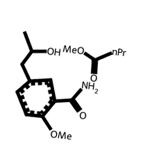 CCCC(=O)OC.COc1ccc(CC(C)O)cc1C(N)=O